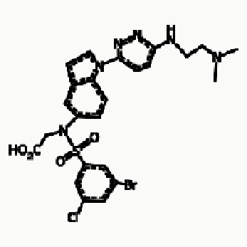 CN(C)CCNc1ccc(-n2ccc3cc(N(CC(=O)O)S(=O)(=O)c4cc(Cl)cc(Br)c4)ccc32)nn1